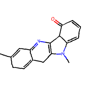 CC1=CC2=NC3=C(CC2=CC1)N(C)C1=CC=CC(=O)C13